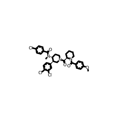 COc1ccc(C(=O)N2CCCC[C@@H]2C(=O)N2CC[C@@H](N(C)C(=O)c3ccc(Cl)cc3)[C@H](c3ccc(Cl)c(Cl)c3)C2)cc1